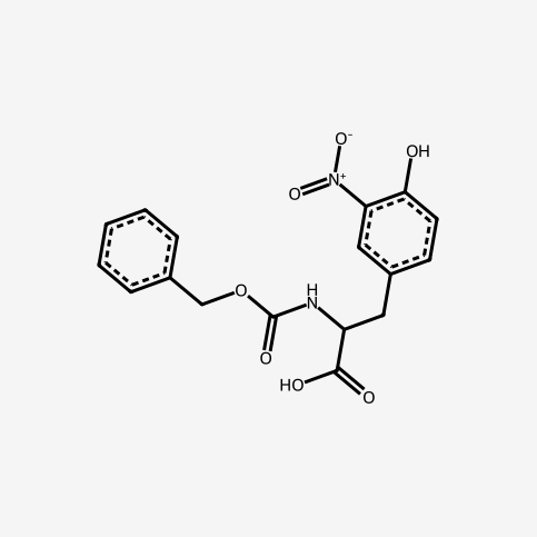 O=C(NC(Cc1ccc(O)c([N+](=O)[O-])c1)C(=O)O)OCc1ccccc1